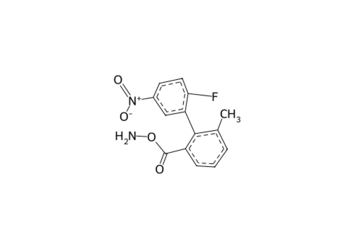 Cc1cccc(C(=O)ON)c1-c1cc([N+](=O)[O-])ccc1F